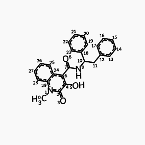 Cn1c(=O)c(O)c(C(=O)NC(Cc2ccccc2)c2ccccc2)c2ccccc21